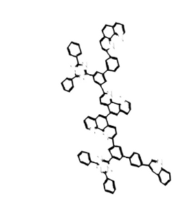 c1ccc(-c2nc(-c3ccccc3)nc(-c3cc(-c4ccc(-c5cnc6ccccc6c5)cc4)cc(-c4ccc5c(-c6cc7cccnc7c7nc(-c8cc(-c9cccc(-c%10ccc%11ccc%12cccnc%12c%11n%10)c9)cc(-c9nc(-c%10ccccc%10)nc(-c%10ccccc%10)n9)c8)ccc67)cc6cccnc6c5n4)c3)n2)cc1